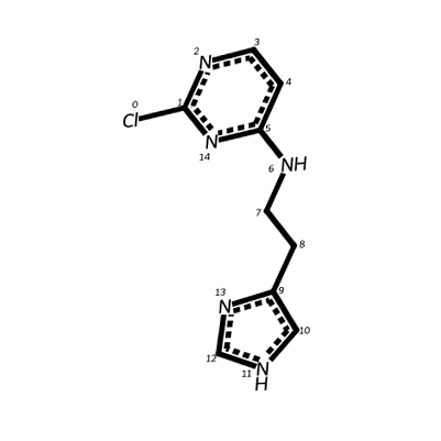 Clc1nccc(NCCc2c[nH]cn2)n1